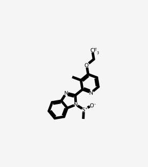 Cc1c(OCC(F)(F)F)ccnc1-c1nc2ccccc2n1[S+](C)[O-]